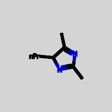 CCCC1N=C(C)N=C1C